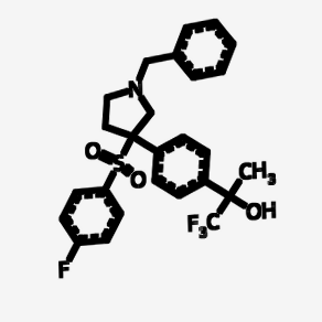 CC(O)(c1ccc(C2(S(=O)(=O)c3ccc(F)cc3)CCN(Cc3ccccc3)C2)cc1)C(F)(F)F